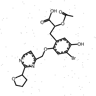 CC(=O)OC(Cc1cc(O)c(Br)cc1OCc1ccnc(C2CCCO2)n1)C(=O)O